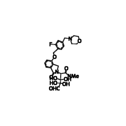 CNC(=O)C(N1Cc2c(OCc3ccc(CN4CCOCC4)cc3F)cccc2C1=O)C(O)(O)C(O)(O)C=O